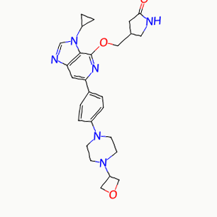 O=C1CC(COc2nc(-c3ccc(N4CCN(C5COC5)CC4)cc3)cc3ncn(C4CC4)c23)CN1